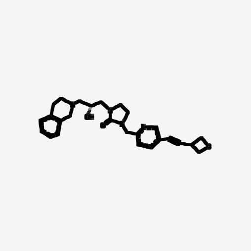 O=C1N(Cc2ccc(C#CC3COC3)cn2)CCN1C[C@H](O)CN1CCc2ccccc2C1